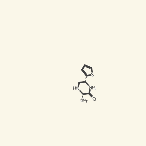 CCC[C@@H]1NC[C@H](c2cccs2)NC1=O